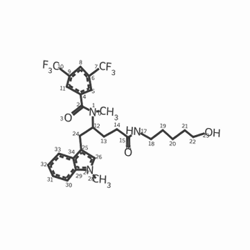 CN(C(=O)c1cc(C(F)(F)F)cc(C(F)(F)F)c1)C(CCC(=O)NCCCCCO)Cc1cn(C)c2ccccc12